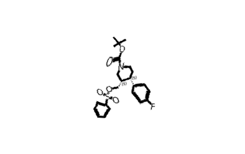 CC(C)(C)OC(=O)N1CC[C@H](c2ccc(F)cc2)[C@H](COS(=O)(=O)c2ccccc2)C1